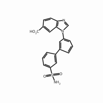 NS(=O)(=O)c1cccc(-c2cccc(-n3cnc4ccc(C(=O)O)cc43)c2)c1